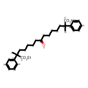 CCOC(=O)C(C)(CCCCCC(=O)CCCCCC(C)(C(=O)O)c1ccccc1)c1ccccc1